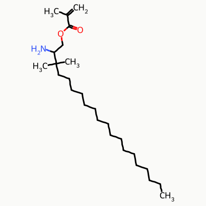 C=C(C)C(=O)OCC(N)C(C)(C)CCCCCCCCCCCCCCCCC